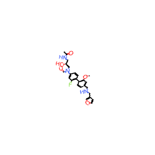 COc1cc(CNCc2ccoc2)ccc1-c1ccc(N(C=O)C[C@@H](O)CNC(C)=O)cc1F